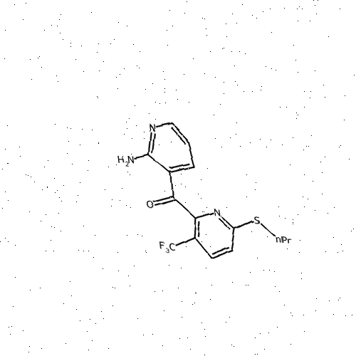 CCCSc1ccc(C(F)(F)F)c(C(=O)c2cccnc2N)n1